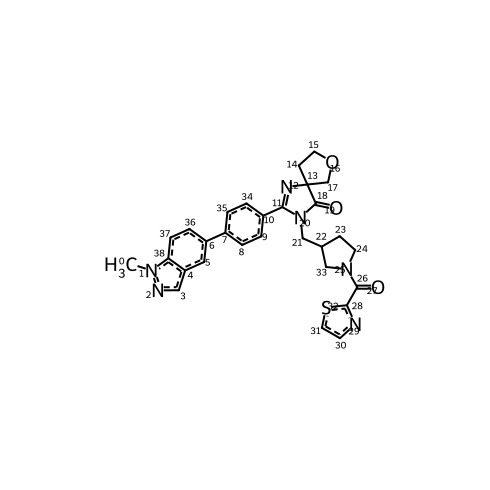 Cn1ncc2cc(-c3ccc(C4=NC5(CCOC5)C(=O)N4CC4CCN(C(=O)c5nccs5)C4)cc3)ccc21